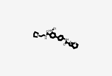 CCNc1cc(-c2ccc(NC(=O)c3cc4cccnc4s3)cc2)ccc1C(=O)NCCN1CCCCC1